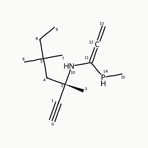 C#C[C@](C)(CC(C)(C)CC)NC(=C=C)PC